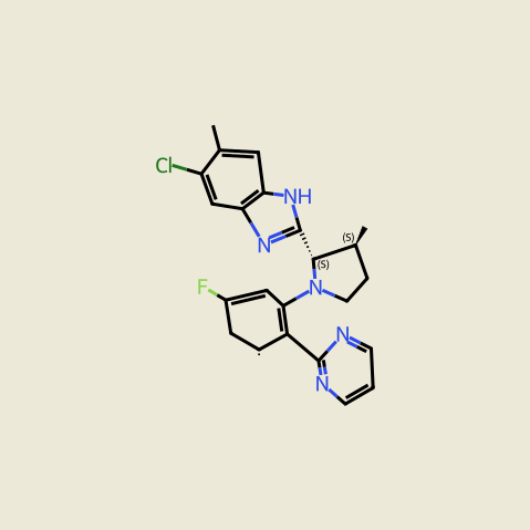 Cc1cc2[nH]c([C@@H]3[C@@H](C)CCN3C3=C(c4ncccn4)[CH]CC(F)=C3)nc2cc1Cl